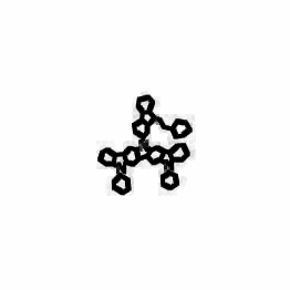 C1=c2c(n(-c3ccccc3)c3ccccc23)=CC2c3cc4c(cc3N(c3ccc5c(c3)[C@H](CCc3ccccc3)c3ccccc3-5)C12)c1ccccc1n4-c1ccccc1